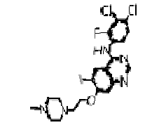 CN1CCN(CCOc2cc3ncnc(Nc4ccc(Cl)c(Cl)c4F)c3cc2I)CC1